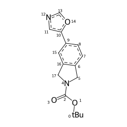 CC(C)(C)OC(=O)N1Cc2ccc(-c3cnco3)cc2C1